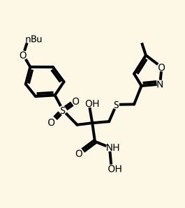 CCCCOc1ccc(S(=O)(=O)CC(O)(CSCc2cc(C)on2)C(=O)NO)cc1